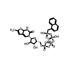 CC1=CC2=CN([C@@H]3O[C@H](COP(=O)(O)OP(=O)(O)OP(=O)(O)OP(=O)(O)Cc4cccc5ccccc45)[C@H](O)C3O)C(=O)NC2O1